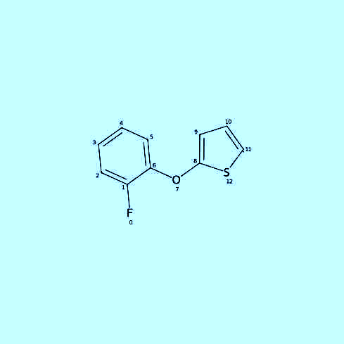 Fc1ccccc1Oc1cc[c]s1